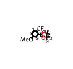 COc1ccc(C(F)(F)F)c(B2OC(C)(C)C(C)(C)O2)c1